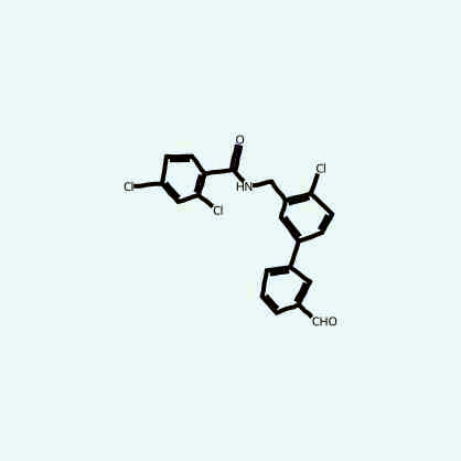 O=Cc1cccc(-c2ccc(Cl)c(CNC(=O)c3ccc(Cl)cc3Cl)c2)c1